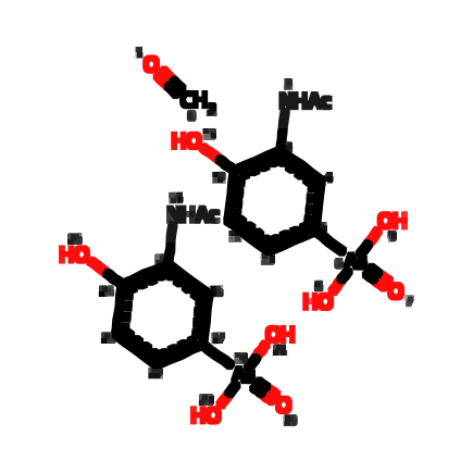 C=O.CC(=O)Nc1cc([As](=O)(O)O)ccc1O.CC(=O)Nc1cc([As](=O)(O)O)ccc1O